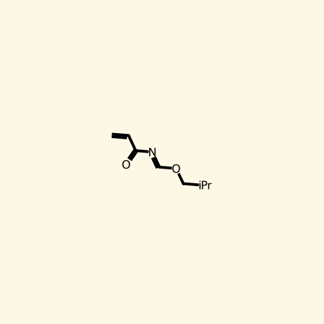 C=CC(=O)N=COCC(C)C